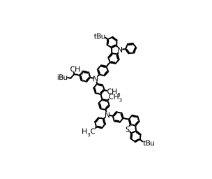 CCC(C)CC(C)c1ccc(N(c2ccc(-c3ccc4c(c3)c3cc(C(C)(C)C)ccc3n4-c3ccccc3)cc2)c2ccc(-c3ccc(N(c4ccc(C)cc4)c4ccc(-c5cccc6c5sc5ccc(C(C)(C)C)cc56)cc4)cc3C)c(C)c2)cc1